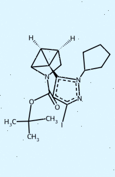 CC(C)(C)OC(=O)N1C[C@@H]2[C@@H]3C1[C@@]23c1cc(I)nn1C1CCCC1